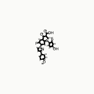 COc1ccc(-c2ccn(-c3cc4c(cc3F)c(=O)c(C(=O)O)cn4-c3ccc(O)cc3F)n2)cc1